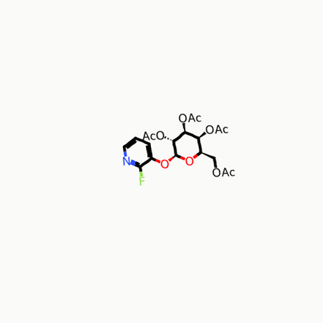 CC(=O)OC[C@H]1O[C@@H](Oc2cccnc2F)[C@H](OC(C)=O)[C@@H](OC(C)=O)[C@H]1OC(C)=O